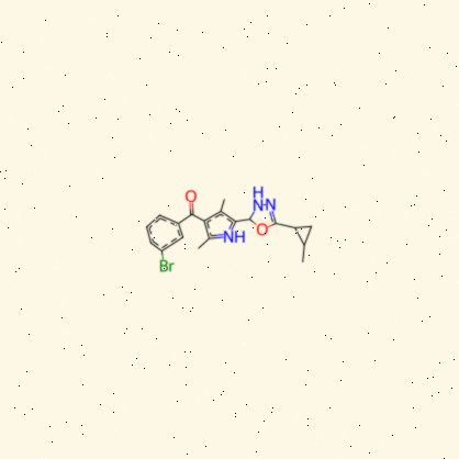 Cc1[nH]c(C2NN=C(C3CC3C)O2)c(C)c1C(=O)c1cccc(Br)c1